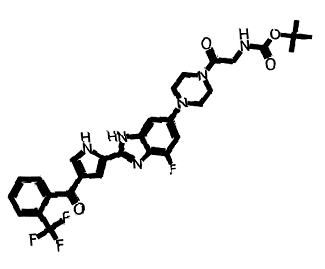 CC(C)(C)OC(=O)NCC(=O)N1CCN(c2cc(F)c3nc(-c4cc(C(=O)c5ccccc5C(F)(F)F)c[nH]4)[nH]c3c2)CC1